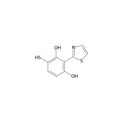 Oc1ccc(S)c(O)c1-c1nccs1